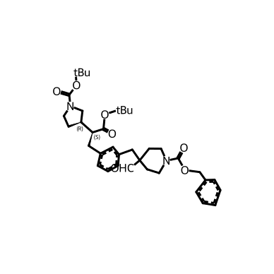 CC(C)(C)OC(=O)[C@@H](Cc1cccc(CC2(C=O)CCN(C(=O)OCc3ccccc3)CC2)c1)[C@H]1CCN(C(=O)OC(C)(C)C)C1